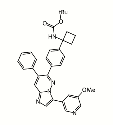 COc1cncc(-c2cnc3cc(-c4ccccc4)c(-c4ccc(C5(NC(=O)OC(C)(C)C)CCC5)cc4)nn23)c1